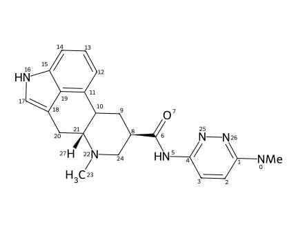 CNc1ccc(NC(=O)[C@@H]2CC3c4cccc5[nH]cc(c45)C[C@H]3N(C)C2)nn1